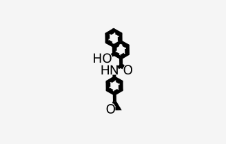 O=C(Nc1ccc(C2CO2)cc1)c1ccc2ccccc2c1O